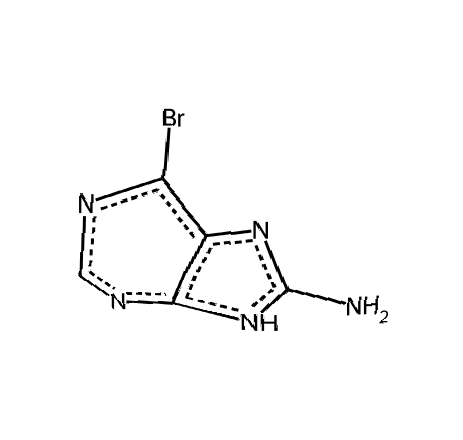 Nc1nc2c(Br)ncnc2[nH]1